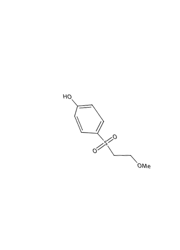 COCCS(=O)(=O)c1ccc(O)cc1